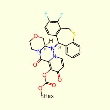 CCCCCCOC(=O)Oc1c2n(ccc1=O)N([C@@H]1c3ccccc3SCc3c1ccc(F)c3F)[C@@H]1COCCN1C2=O